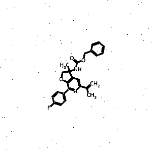 C=C(C)c1cc2c(c(-c3ccc(F)cc3)n1)OCC2(C)NC(=O)OCc1ccccc1